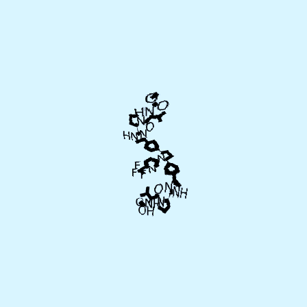 COC(=O)N[C@H](C(=O)N1CCC[C@H]1c1nc(-c2ccc([C@@H]3CC[C@@H](c4ccc(-c5c[nH]c([C@@H]6CCCN6C(=O)[C@@H](NC(=O)O)C(C)C)n5)cc4)N3c3ccc(C(F)(F)F)nc3)cc2)c[nH]1)C(C)C